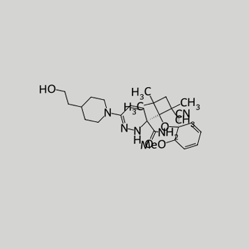 COC1C=CC=C[C@]1(C#N)OC1([C@@]2(C(N)=O)C=CC(N3CCC(CCO)CC3)=NN2)C(C)(C)CC1(C)C